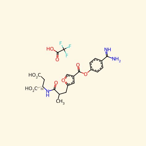 CC(Cc1cc(C(=O)Oc2ccc(C(=N)N)cc2)co1)C(=O)N[C@@H](CC(=O)O)C(=O)O.O=C(O)C(F)(F)F